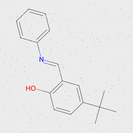 CC(C)(C)c1ccc(O)c(/C=N/c2ccccc2)c1